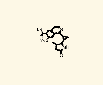 COc1cc2c(C3CC3C3NC(=O)CC3C)nccc2cc1C(N)=O